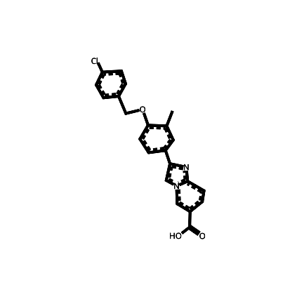 Cc1cc(-c2cn3cc(C(=O)O)ccc3n2)ccc1OCc1ccc(Cl)cc1